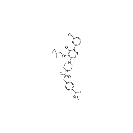 CC1(COc2c(N3CCN(S(=O)(=O)Cc4ccc(C(N)=O)cc4)CC3)cnn(-c3cccc(Cl)c3)c2=O)CC1